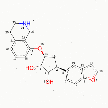 OC1C(O)[C@H](c2ccc3occc3c2)C[C@@H]1Oc1cccc2c1CNCC2